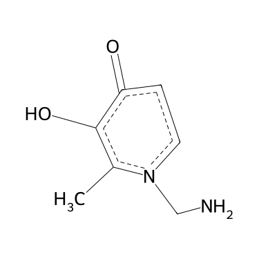 Cc1c(O)c(=O)ccn1CN